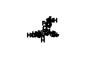 Cc1cc2c(F)c(Oc3nc(Nc4cc(CO)[nH]n4)cc(N4CCN(C)CC4)n3)ccc2[nH]1